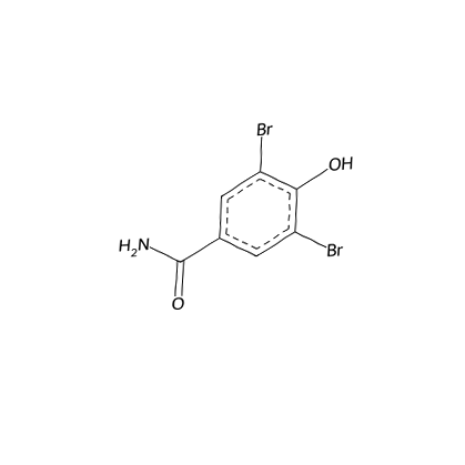 NC(=O)c1cc(Br)c(O)c(Br)c1